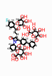 O=C(O)C1O[C@@H](Oc2cccc(-c3ccc([C@@H]4[C@@H](CC[C@H](O[C@@H]5OC=C(O)C(O)C5O)c5ccc(F)cc5)C(=O)N4c4ccccc4)c(O[C@@H]4OC(C(=O)O)[C@@H](O)C(O)C4O)c3)c2)C(O)C(O)[C@@H]1O